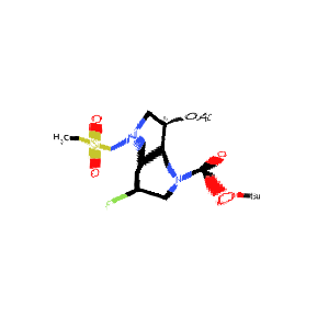 CC(=O)O[C@@H]1CN(S(C)(=O)=O)C2C(F)CN(C(=O)OC(C)(C)C)C21